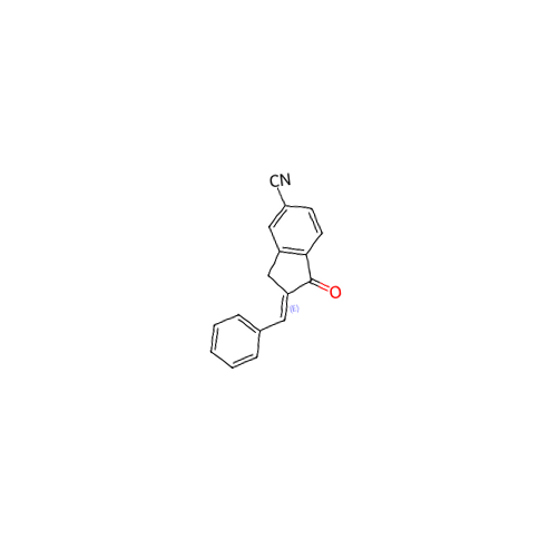 N#Cc1ccc2c(c1)C/C(=C\c1ccccc1)C2=O